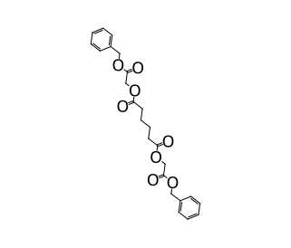 O=C(CCCCC(=O)OCC(=O)OCc1ccccc1)OCC(=O)OCc1ccccc1